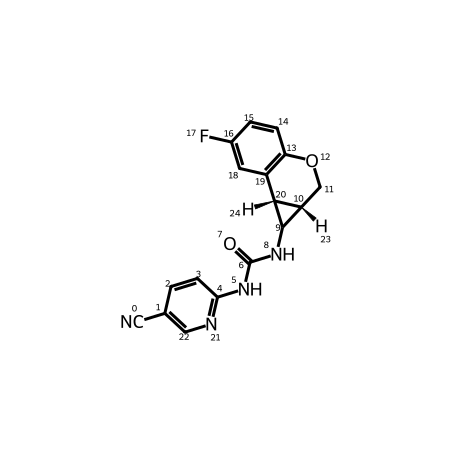 N#Cc1ccc(NC(=O)NC2[C@H]3COc4ccc(F)cc4[C@@H]23)nc1